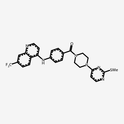 CSc1nccc(N2CCN(C(=O)c3ccc(Nc4ccnc5cc(C(F)(F)F)ccc45)cc3)CC2)n1